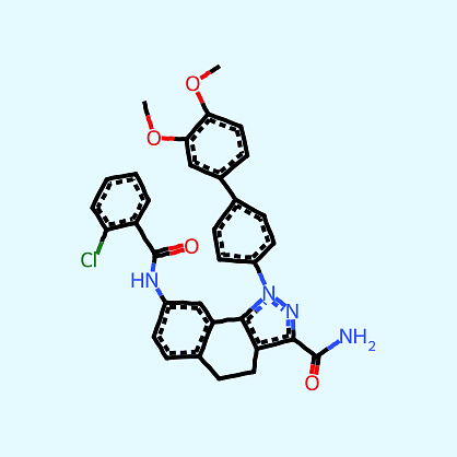 COc1ccc(-c2ccc(-n3nc(C(N)=O)c4c3-c3cc(NC(=O)c5ccccc5Cl)ccc3CC4)cc2)cc1OC